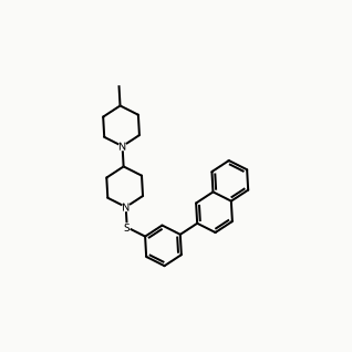 CC1CCN(C2CCN(Sc3cccc(-c4ccc5ccccc5c4)c3)CC2)CC1